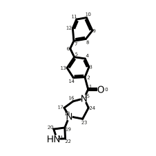 O=C(c1ccc(Cc2ccccc2)cc1)N1CCN(C2CNC2)CC1